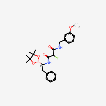 CC1(C)OB([C@H](Cc2ccccc2)NC(=O)C(F)C(=O)NCc2cccc(OC(F)(F)F)c2)OC1(C)C